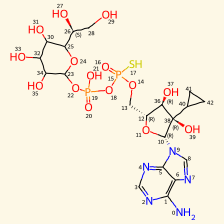 Nc1ncnc2c1ncn2[C@@H]1O[C@H](COP(=O)(S)OP(=O)(O)OC2OC([C@@H](O)CO)C(O)C(O)C2O)[C@@H](O)[C@]1(O)C1CC1